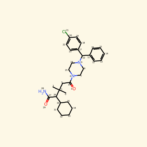 CC(C)(CC(=O)N1CCN(C(c2ccccc2)c2ccc(Cl)cc2)CC1)C(C(N)=O)C1CCCCC1